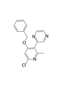 Cc1nc(Cl)cc(OCc2ccccc2)c1-c1cnccn1